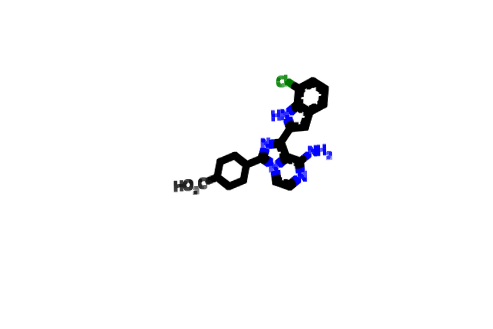 Nc1nccn2c(C3CCC(C(=O)O)CC3)nc(-c3cc4cccc(Cl)c4[nH]3)c12